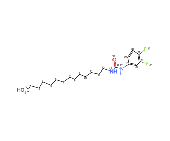 O=C(O)CCCCCCCCCCCCCNC(=O)Nc1ccc(F)c(F)c1